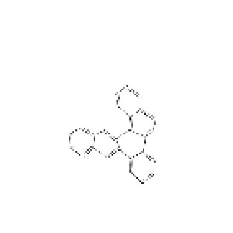 c1ccc2cc3c(cc2c1)c1cccnc1c1ccc2ccccc2c31